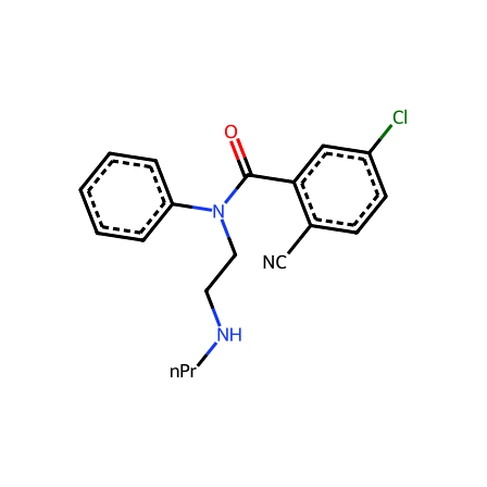 CCCNCCN(C(=O)c1cc(Cl)ccc1C#N)c1ccccc1